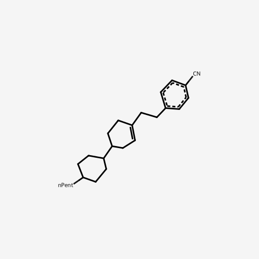 CCCCCC1CCC(C2CC=C(CCc3ccc(C#N)cc3)CC2)CC1